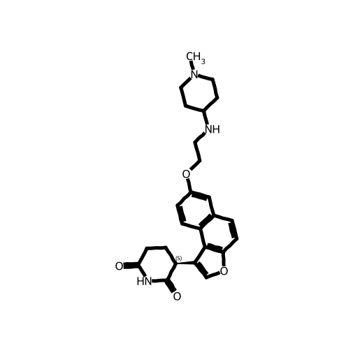 CN1CCC(NCCOc2ccc3c(ccc4occ([C@@H]5CCC(=O)NC5=O)c43)c2)CC1